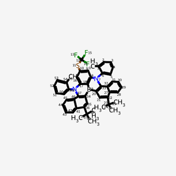 Cc1ccccc1N1c2cc(SC(F)(F)F)cc3c2B(c2cc(C(C)(C)C)c4ccccc4c21)c1cc(C(C)(C)C)c2ccccc2c1N3c1ccccc1C